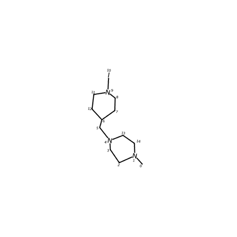 CN1CCN(CC2CCN(I)CC2)CC1